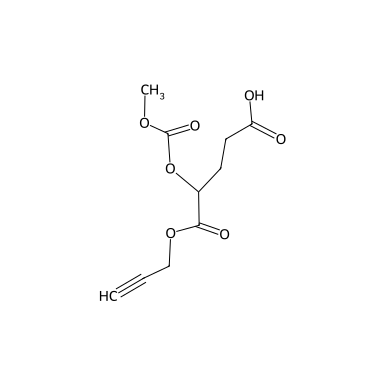 C#CCOC(=O)C(CCC(=O)O)OC(=O)OC